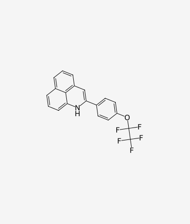 FC(F)(F)C(F)(F)Oc1ccc(C2=Cc3cccc4cccc(c34)N2)cc1